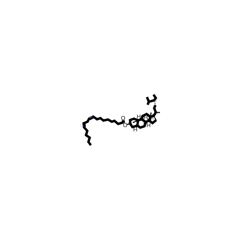 CCCCC/C=C\C/C=C\CCCCCCCC(=O)O[C@H]1CC[C@@]2(C)[C@@H](CC[C@@H]3[C@@H]2CC[C@]2(C)[C@@H]([C@H](C)CC[C@@H](CC)C(C)C)CC[C@@H]32)C1